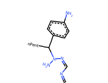 C=N/C=N\N(N)C(CCCCC)c1ccc(N)cc1